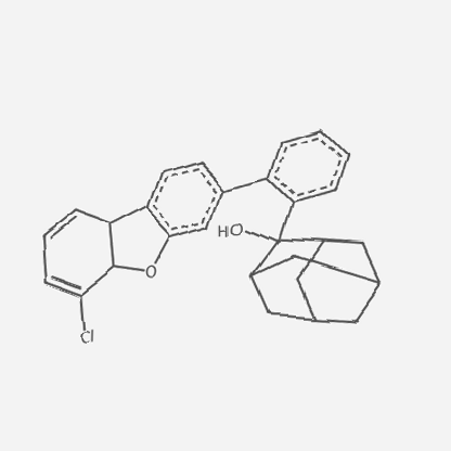 OC1(c2ccccc2-c2ccc3c(c2)OC2C(Cl)=CC=CC32)C2CC3CC(C2)CC1C3